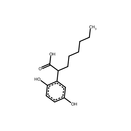 CCCCCCC(C(=O)O)c1cc(O)ccc1O